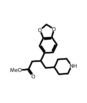 COC(=O)CC(CC1CCNCC1)c1ccc2c(c1)OCO2